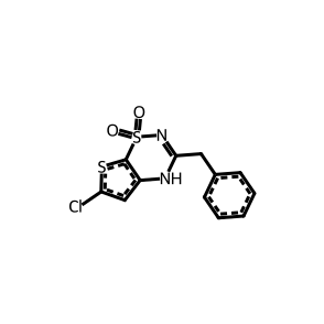 O=S1(=O)N=C(Cc2ccccc2)Nc2cc(Cl)sc21